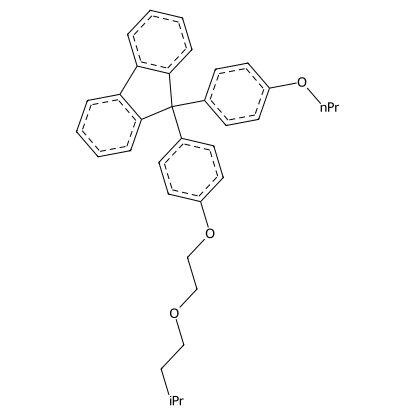 CCCOc1ccc(C2(c3ccc(OCCOCCC(C)C)cc3)c3ccccc3-c3ccccc32)cc1